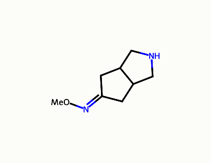 CON=C1CC2CNCC2C1